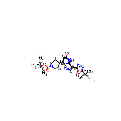 CC(C)(C)OC(=O)N1CCC(c2cc(=O)[nH]c3c(-c4nnc(C(C)(C)C)o4)cnn23)CC1